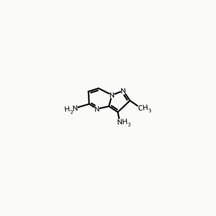 Cc1nn2ccc(N)nc2c1N